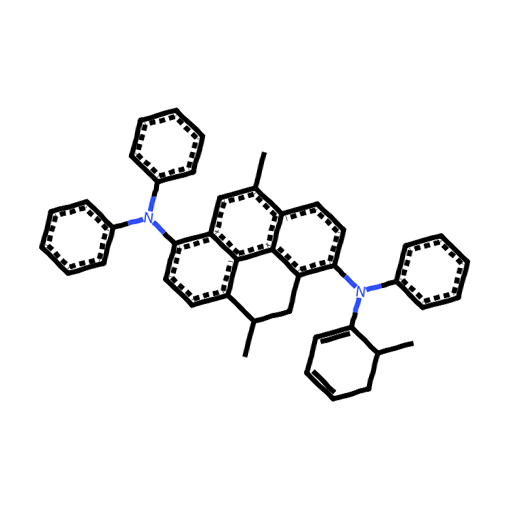 Cc1cc2c(N(c3ccccc3)c3ccccc3)ccc3c2c2c(c(N(C4=CC=CCC4C)c4ccccc4)ccc12)CC3C